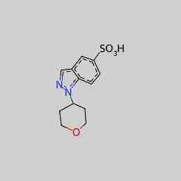 O=S(=O)(O)c1ccc2c(cnn2C2CCOCC2)c1